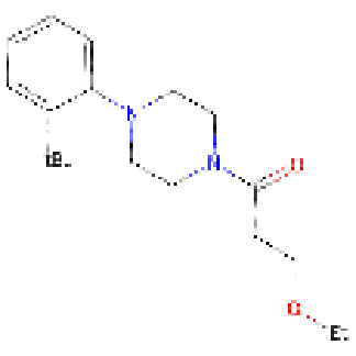 CCOCCC(=O)N1CCN(c2ccccc2C(C)(C)C)CC1